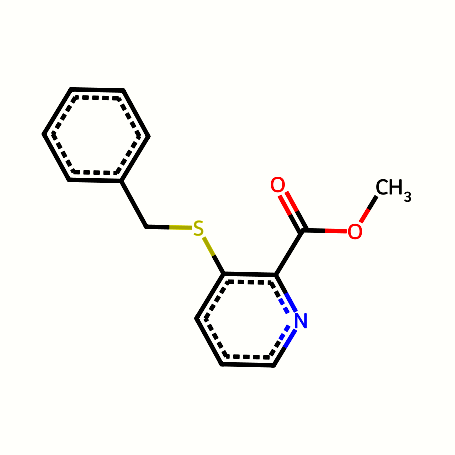 COC(=O)c1ncccc1SCc1ccccc1